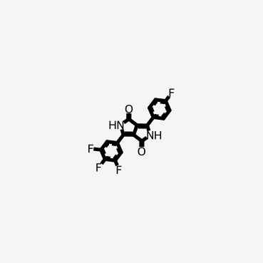 O=C1NC(c2cc(F)c(F)c(F)c2)=C2C(=O)NC(c3ccc(F)cc3)=C12